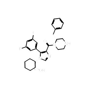 O=C(c1ncn([C@H]2CCCC[C@H]2O)c1-c1cc(F)cc(F)c1)N1CCNC[C@H]1Cc1ccccc1